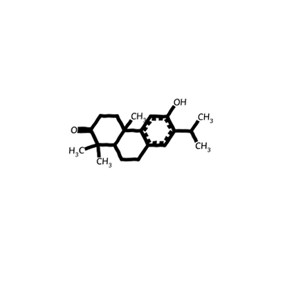 CC(C)c1cc2c(cc1O)C1(C)CCC(=O)C(C)(C)C1CC2